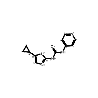 O=C(Nc1ccncc1)Nc1ncc(C2CC2)s1